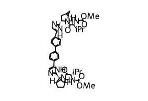 COC(=O)N[C@H](C(=O)N1[C@@H]2CC[C@@H](C2)[C@H]1c1ncc(-c2ccc(-c3ccc(-c4cnc([C@@H]5CC6=C[C@H]6N5C(=O)[C@@H](NC(=O)OC)C(C)C)[nH]4)cc3)cc2)[nH]1)C(C)C